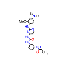 C=CC(=O)Nc1cccc(NC(=O)Nc2ccnc(Nc3ccc(N(CC)CC)cc3OC)n2)c1